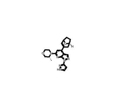 C[C@@H]1COCCN1c1cc(C2=CC3CC[C@@H](C2)O3)c2cnn(-c3cc[nH]n3)c2n1